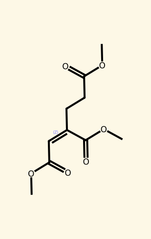 COC(=O)/C=C(/CCC(=O)OC)C(=O)OC